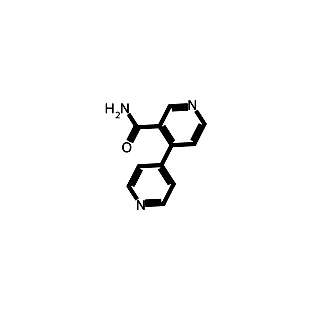 NC(=O)c1cnccc1-c1ccncc1